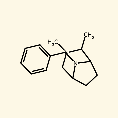 CC1C2CCC(CN1C)N2Cc1ccccc1